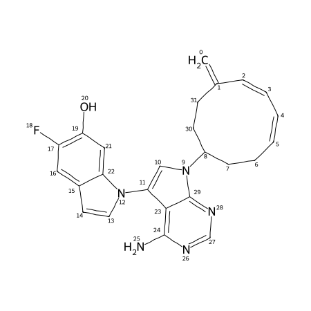 C=C1/C=C\C=C/CCC(n2cc(-n3ccc4cc(F)c(O)cc43)c3c(N)ncnc32)CC1